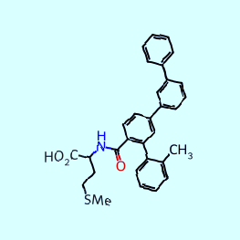 CSCCC(NC(=O)c1ccc(-c2cccc(-c3ccccc3)c2)cc1-c1ccccc1C)C(=O)O